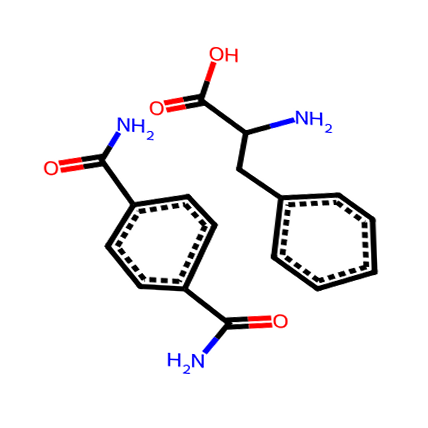 NC(=O)c1ccc(C(N)=O)cc1.NC(Cc1ccccc1)C(=O)O